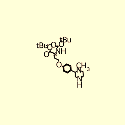 CN1CCNCC1c1ccc(OCC[C@H](NC(=O)OC(C)(C)C)C(=O)OC(C)(C)C)cc1